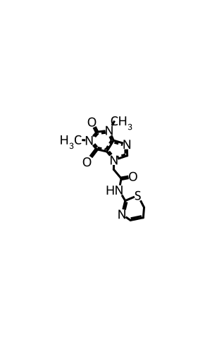 Cn1c(=O)c2c(ncn2CC(=O)NC2=NC=CCS2)n(C)c1=O